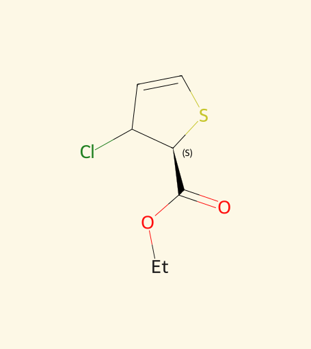 CCOC(=O)[C@@H]1SC=CC1Cl